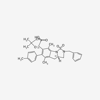 Cc1ccc(-c2c(C)c3c(c(C)c2[C@H](OC(C)(C)C)C(=O)O)N2[C@@H](C3)CN(Cc3ccccc3)S2(=O)=O)cc1